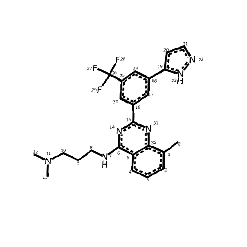 Cc1cccc2c(NCCCN(C)C)nc(-c3cc(-c4ccn[nH]4)cc(C(F)(F)F)c3)nc12